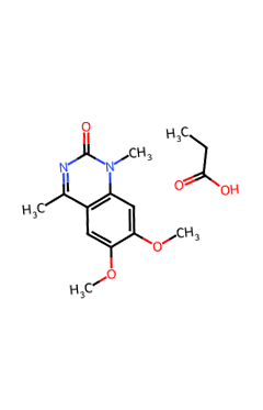 CCC(=O)O.COc1cc2c(C)nc(=O)n(C)c2cc1OC